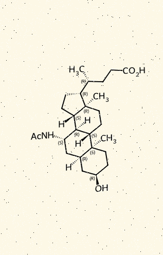 CC(=O)N[C@H]1C[C@@H]2C[C@H](O)CC[C@]2(C)[C@H]2CC[C@]3(C)[C@@H]([C@H](C)CCC(=O)O)CC[C@H]3[C@H]12